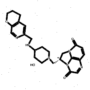 Cl.O=c1ccc2ncc(=O)n3c2n1C[C@H]3CN1CCC(NCc2cc3c(cn2)OCCC3)CC1